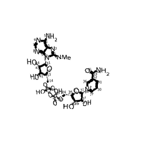 CNc1nc2c(N)ncnc2n1[C@@H]1O[C@H](COP(=O)(O)OP(=O)(O)OC[C@@H]2O[C@H]([n+]3cccc(C(N)=O)c3)C(O)[C@@H]2O)C(O)[C@@H]1O